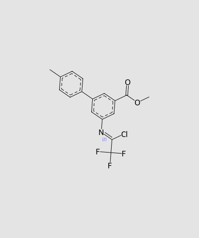 COC(=O)c1cc(/N=C(\Cl)C(F)(F)F)cc(-c2ccc(C)cc2)c1